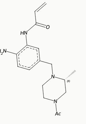 C=CC(=O)Nc1cc(CN2CCN(C(C)=O)C[C@H]2C)ccc1N